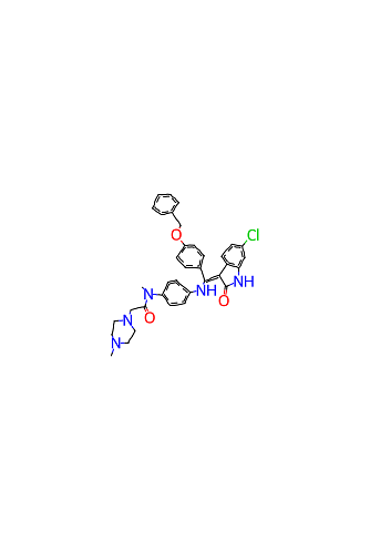 CN1CCN(CC(=O)N(C)c2ccc(N/C(=C3\C(=O)Nc4cc(Cl)ccc43)c3ccc(OCc4ccccc4)cc3)cc2)CC1